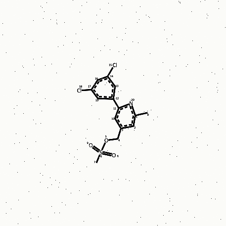 Cc1cc(COS(C)(=O)=O)cc(-c2cc(Cl)cc(Cl)c2)n1